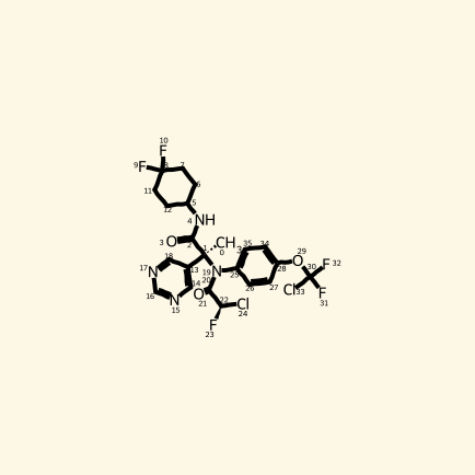 C[C@@](C(=O)NC1CCC(F)(F)CC1)(c1cncnc1)N(C(=O)[C@H](F)Cl)c1ccc(OC(F)(F)Cl)cc1